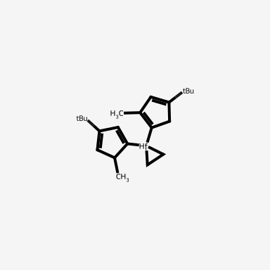 CC1=[C]([Hf]2([C]3=CC(C(C)(C)C)=CC3C)[CH2][CH2]2)CC(C(C)(C)C)=C1